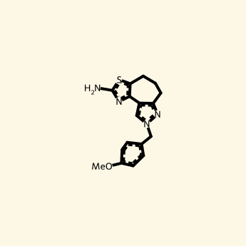 COc1ccc(Cn2cc3c(n2)CCCc2sc(N)nc2-3)cc1